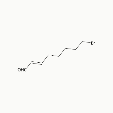 O=C/C=C/CCCCCBr